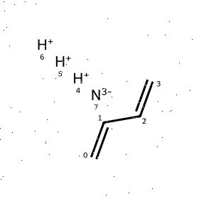 C=CC=C.[H+].[H+].[H+].[N-3]